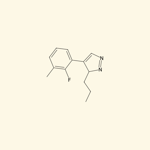 CCCC1N=NC=C1c1cccc(C)c1F